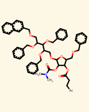 CC(=O)CCC(=O)OC1C(COCc2ccccc2)OC(OCC(OCc2ccccc2)C(OCc2ccccc2)C(COCc2ccc3ccccc3c2)OCc2ccccc2)C1OC(=O)N(C)C